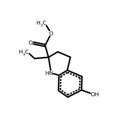 CCC1(C(=O)OC)CCc2cc(O)ccc2N1